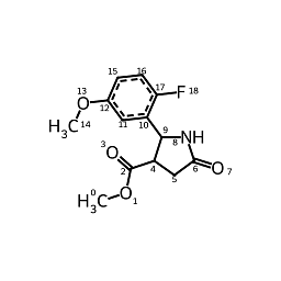 COC(=O)C1CC(=O)NC1c1cc(OC)ccc1F